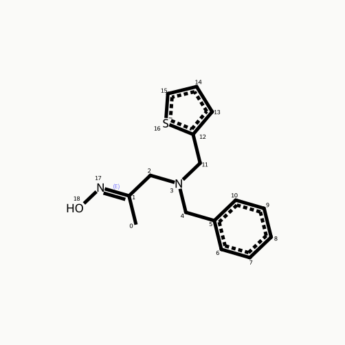 C/C(CN(Cc1ccccc1)Cc1cccs1)=N\O